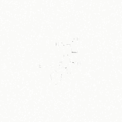 CCOC(=O)C1(NC(=O)[C@H](C)NC(=O)[C@H](C)N)CCCCC1